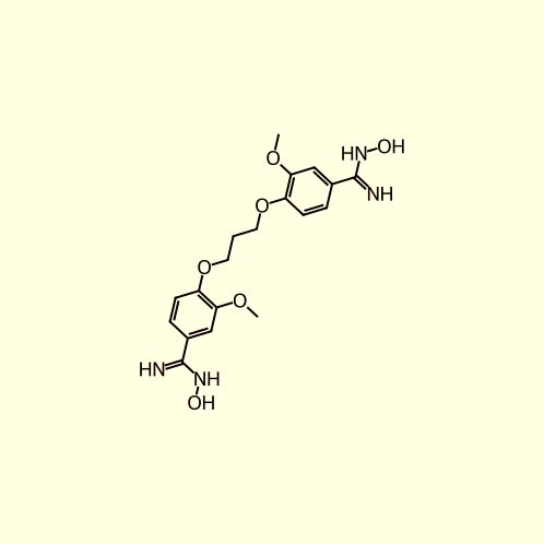 COc1cc(C(=N)NO)ccc1OCCCOc1ccc(C(=N)NO)cc1OC